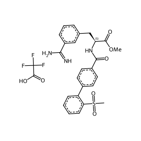 COC(=O)[C@H](Cc1cccc(C(=N)N)c1)NC(=O)c1ccc(-c2ccccc2S(C)(=O)=O)cc1.O=C(O)C(F)(F)F